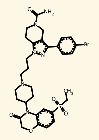 CCS(=O)(=O)c1ccc2c(c1)N(C1CCN(CCCn3nc(-c4ccc(Br)cc4)c4c3CCN(C(N)=O)C4)CC1)C(=O)CO2